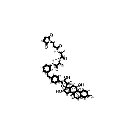 C[C@H](NC(=O)CCN1C(=O)C=CC1=O)C(=O)N[C@@H](C)C(=O)Nc1cccc(Cc2ccc(CO[C@]3(C(=O)CO)[C@H](O)CC4[C@@H]5CCC6=CC(=O)C=C[C@]6(C)[C@H]5[C@@H](O)C[C@@]43C)cc2)c1